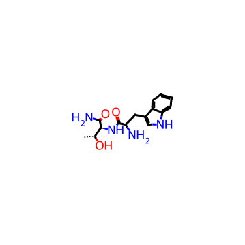 C[C@@H](O)[C@H](NC(=O)C(N)Cc1c[nH]c2ccccc12)C(N)=O